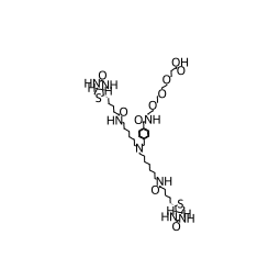 O=C(O)CCOCCOCCOCCNC(=O)c1ccc(CN(CCCCCCCNC(=O)CCCC[C@@H]2SC[C@@H]3NC(=O)N[C@@H]32)CCCCCCNC(=O)CCCC[C@@H]2SC[C@@H]3NC(=O)N[C@@H]32)cc1